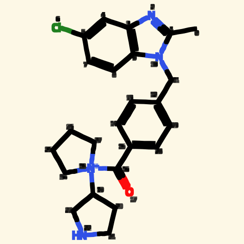 Cc1nc2cc(Cl)ccc2n1Cc1ccc(C(=O)[N+]2(C3CCNC3)CCCC2)cc1